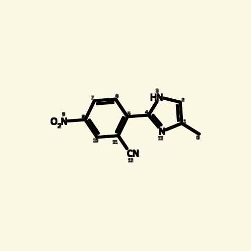 Cc1c[nH]c(-c2ccc([N+](=O)[O-])cc2C#N)n1